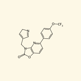 O=c1oc2ccc(-c3ccc(OC(F)(F)F)cc3)nc2n1CC1=CCN=C1